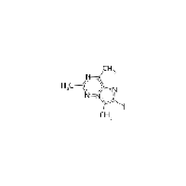 Cc1nc(C)c2nc(I)c(C)n2n1